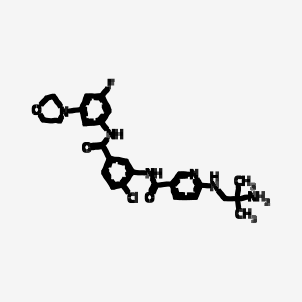 CC(C)(N)CNc1ccc(C(=O)Nc2cc(C(=O)Nc3cc(F)cc(N4CCOCC4)c3)ccc2Cl)cn1